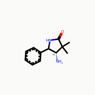 CC1(C)C(=O)NC(c2ccccc2)[C@H]1N